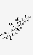 CC[C@H]1CN(c2ncc(C(=O)NC)nc2C(F)(F)F)CCN1C1CCN(C(=O)c2ccc(Cl)cc2)CC1